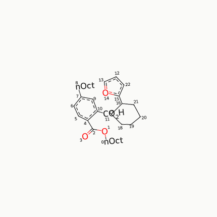 CCCCCCCCOC(=O)c1ccc(CCCCCCCC)cc1C(=O)O.c1coc(C2CCCCC2)c1